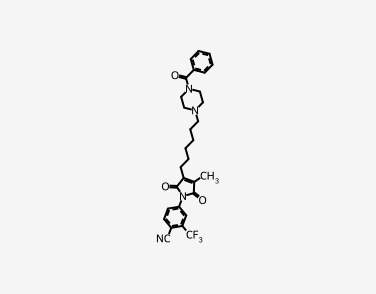 CC1=C(CCCCCCN2CCN(C(=O)c3ccccc3)CC2)C(=O)N(c2ccc(C#N)c(C(F)(F)F)c2)C1=O